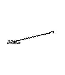 CO[Si](CCCCCCCCCCCCCCCCCCCCCCCCCCCCCCCCCCCCCCO)(OC)OC